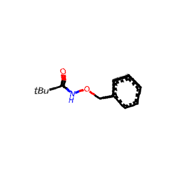 CC(C)(C)C(=O)NOCc1ccccc1